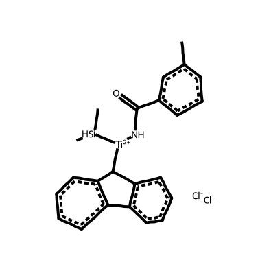 Cc1cccc(C(=O)[NH][Ti+2]([CH]2c3ccccc3-c3ccccc32)[SiH](C)C)c1.[Cl-].[Cl-]